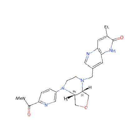 CCc1cc2ncc(CN3CCN(c4ccc(C(=O)NC)nc4)[C@H]4COC[C@H]43)cc2[nH]c1=O